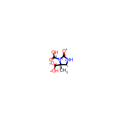 C[C@]1(C(=O)O)CNC(=O)N1C(=O)O